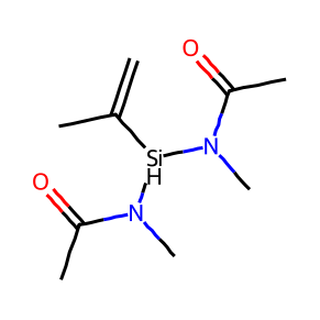 C=C(C)[SiH](N(C)C(C)=O)N(C)C(C)=O